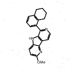 COc1ccc2[nH]c3c(-c4cccc5c4CCCC5)nccc3c2n1